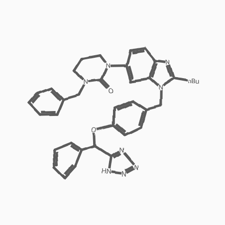 CCCCc1nc2ccc(N3CCCN(Cc4ccccc4)C3=O)cc2n1Cc1ccc(OC(c2ccccc2)c2nnn[nH]2)cc1